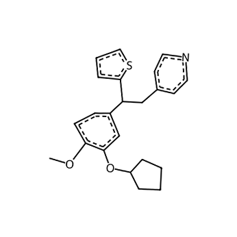 COc1ccc(C(Cc2ccncc2)c2cccs2)cc1OC1CCCC1